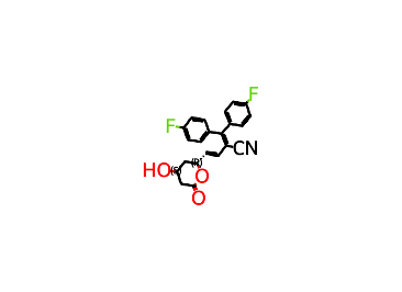 N#CC(C=C[C@H]1C[C@H](O)CC(=O)O1)=C(c1ccc(F)cc1)c1ccc(F)cc1